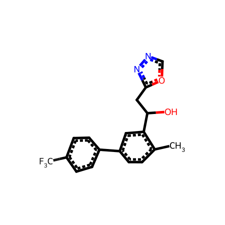 Cc1ccc(-c2ccc(C(F)(F)F)cc2)cc1C(O)Cc1nnco1